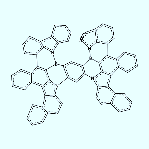 c1ccc2c(c1)ccc1c2c2c3ccccc3c3c4c2n1-c1cc2c(cc1B4n1c4ccccc4c4cccc-3c41)B1c3c(c4ccccc4c4c5c6ccccc6ccc5n-2c34)-c2cccc3c4ccccc4n1c23